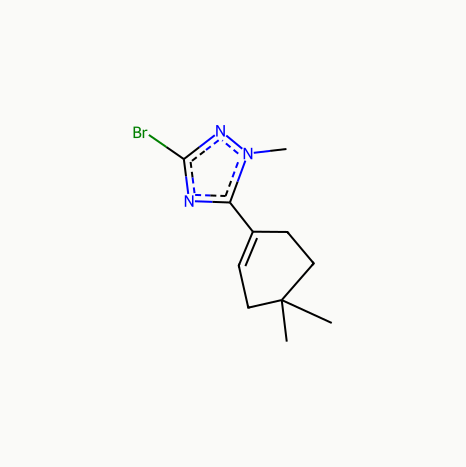 Cn1nc(Br)nc1C1=CCC(C)(C)CC1